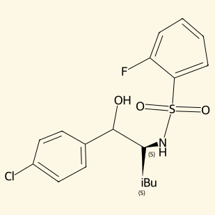 CC[C@H](C)[C@H](NS(=O)(=O)c1ccccc1F)C(O)c1ccc(Cl)cc1